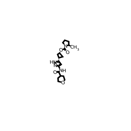 CC1CCCN1C(=O)O[C@H]1C[C@@H](c2cc(NC(=O)C3CCOCC3)n[nH]2)C1